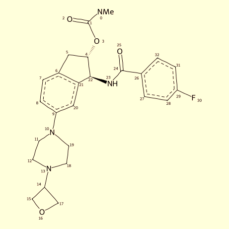 CNC(=O)O[C@H]1Cc2ccc(N3CCN(C4COC4)CC3)cc2[C@@H]1NC(=O)c1ccc(F)cc1